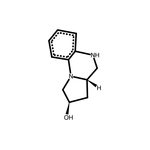 O[C@@H]1C[C@H]2CNc3ccccc3N2C1